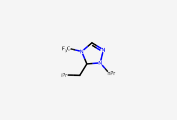 CCCN1N=CN(C(F)(F)F)C1CC(C)C